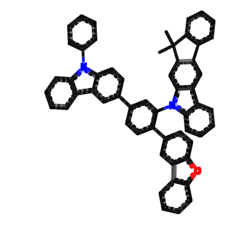 CC1(C)c2ccccc2-c2cc3c4ccccc4n(-c4cc(-c5ccc6c(c5)c5ccccc5n6-c5ccccc5)ccc4-c4ccc5oc6ccccc6c5c4)c3cc21